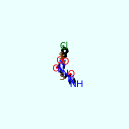 O=C1CN(S(=O)(=O)c2cc3ccc(Cl)cc3s2)CCN1Cc1nc(C(=O)N2CCNCC2)cs1